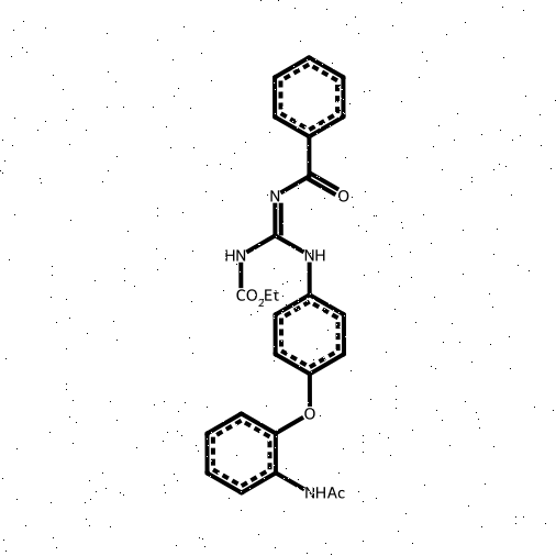 CCOC(=O)NC(=NC(=O)c1ccccc1)Nc1ccc(Oc2ccccc2NC(C)=O)cc1